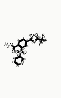 NC(=O)c1ccc(-c2noc(C(F)(F)F)n2)cc1S(=O)(=O)c1cccnc1